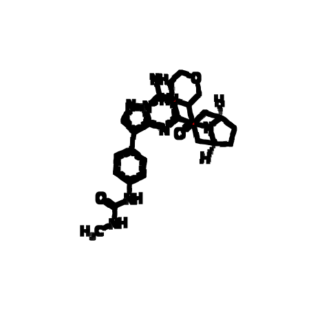 CNC(=O)Nc1ccc(-c2cnn3c(N)cc([C@H]4C[C@H]5CC[C@@H](C4)N5C(=O)C4COCCN4)nc23)cc1